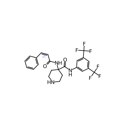 O=C(/C=C\c1ccccc1)NC1(C(=O)Nc2cc(C(F)(F)F)cc(C(F)(F)F)c2)CCNCC1